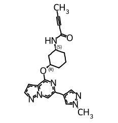 CC#CC(=O)N[C@H]1CCC[C@@H](Oc2nc(-c3cnn(C)c3)cn3nccc23)C1